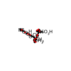 CC1(C)C(/C=C/C2=C(Cl)C(=C/C=c3\c4cccc5cccc(c54)n3CCCS(=O)(=O)O)/CC2)=[N+](CCCCCC(=O)NCCOCCOCCOCCN=[N+]=[N-])c2ccc3ccccc3c21